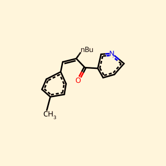 CCCCC(=Cc1ccc(C)cc1)C(=O)c1cccnc1